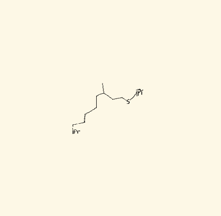 CC(C)CCCCCC(C)CCSC(C)C